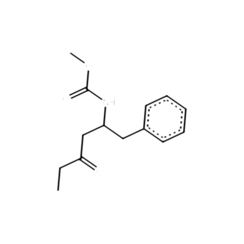 CCC(=O)CC(Cc1ccccc1)NC(=O)OC